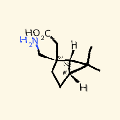 CC1(C)[C@@H]2CC[C@](CN)(CC(=O)O)[C@@H]21